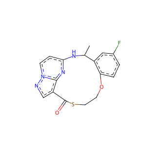 CC1Nc2ccn3ncc(c3n2)C(=O)SCCOc2ccc(F)cc21